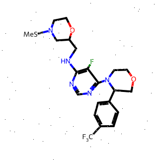 CSN1CCOC(CNc2ncnc(N3CCOCC3c3ccc(C(F)(F)F)cc3)c2F)C1